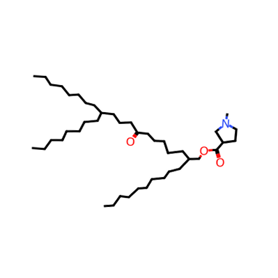 CCCCCCCCCCC(CCCCCC(=O)CCCC(CCCCCCCC)CCCCCCCC)COC(=O)C1CCN(C)C1